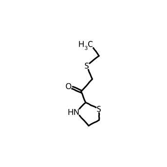 CCSCC(=O)C1NCCS1